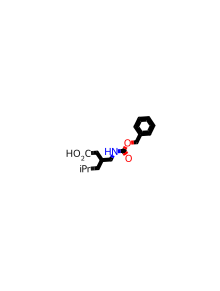 CC(C)CC(CNC(=O)OCc1ccccc1)CC(=O)O